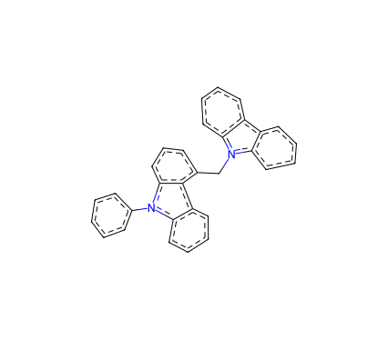 c1ccc(-n2c3ccccc3c3c(Cn4c5ccccc5c5ccccc54)cccc32)cc1